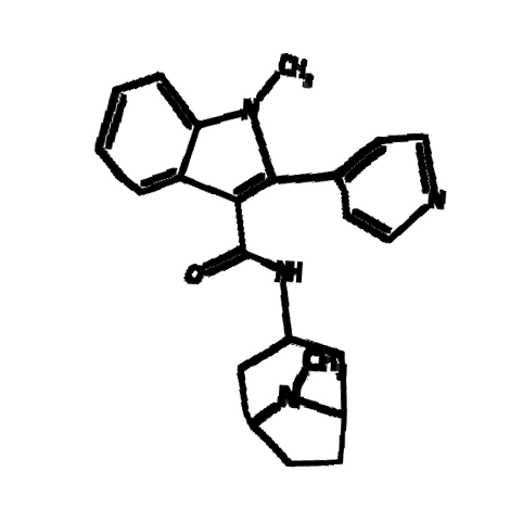 CN1C2CCC1CC(NC(=O)c1c(-c3ccncc3)n(C)c3ccccc13)C2